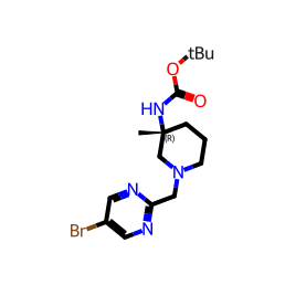 CC(C)(C)OC(=O)N[C@]1(C)CCCN(Cc2ncc(Br)cn2)C1